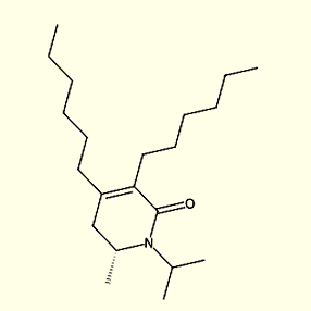 CCCCCCC1=C(CCCCCC)C(=O)N(C(C)C)[C@H](C)C1